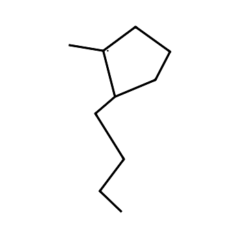 CCCCC1CCC[C]1C